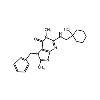 Cc1nc2nc(NCC3(O)CCCCC3)n(C)c(=O)c2n1Cc1ccccc1